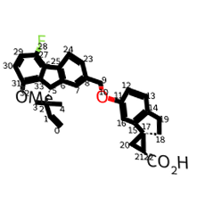 C=CC(C)(C)[C@H]1c2cc(COc3ccc4c(c3)[C@]3(CC4)C[C@H]3C(=O)O)ccc2-c2c(F)ccc(OC)c21